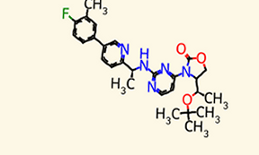 Cc1cc(-c2ccc([C@H](C)Nc3nccc(N4C(=O)OCC4[C@@H](C)OC(C)(C)C)n3)nc2)ccc1F